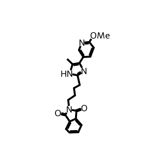 COc1ccc(-c2nc(CCCCN3C(=O)c4ccccc4C3=O)[nH]c2C)cn1